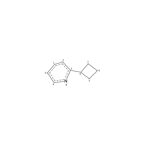 [c]1ccc(C2CCC2)nc1